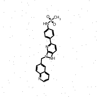 CS(=O)(=O)Nc1ccc(-c2ccc3[nH]n(Cc4ccc5ncccc5c4)c3n2)cc1